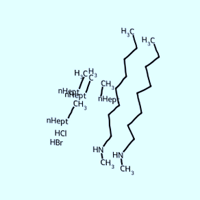 Br.CCCCCCCC.CCCCCCCC.CCCCCCCC.CCCCCCCC.CCCCCCCCNC.CCCCCCCCNC.Cl